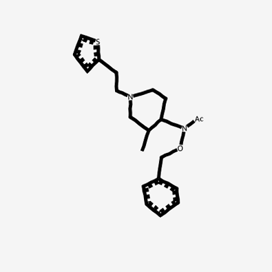 CC(=O)N(OCc1ccccc1)C1CCN(CCc2cccs2)CC1C